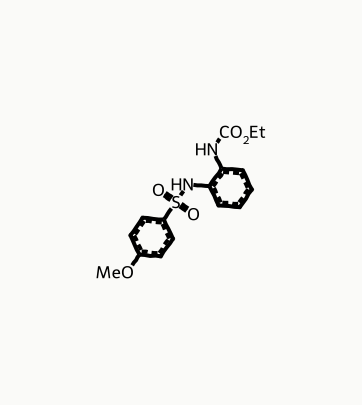 CCOC(=O)Nc1ccccc1NS(=O)(=O)c1ccc(OC)cc1